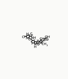 CCC(NC(=O)c1ccc2c(c1)/C(=C/c1[nH]c(C)c(CCC(=O)O)c1C)C(=O)N2)c1ccc(Cl)cc1